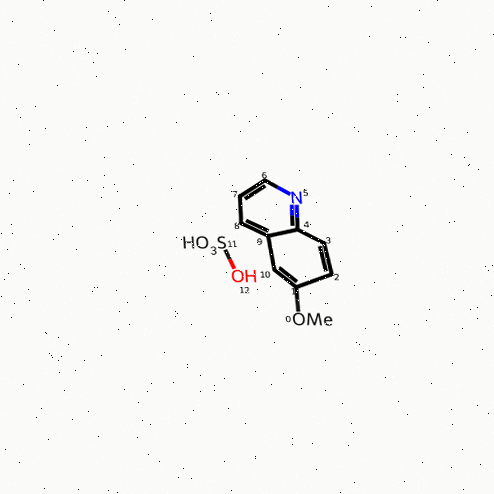 COc1ccc2ncccc2c1.O=S(=O)(O)O